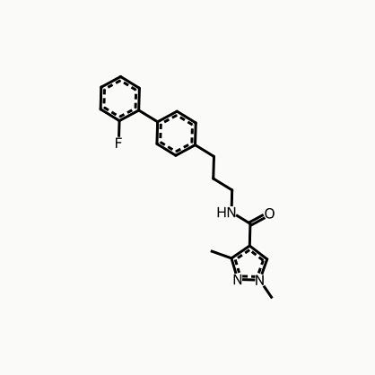 Cc1nn(C)cc1C(=O)NCCCc1ccc(-c2ccccc2F)cc1